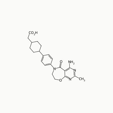 Cc1nc(N)c2c(n1)OCCN(c1ccc(C3CCC(CC(=O)O)CC3)cc1)C2=O